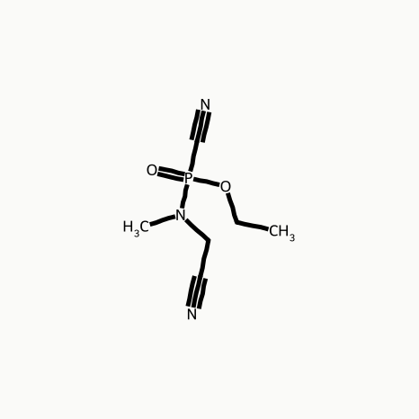 CCOP(=O)(C#N)N(C)CC#N